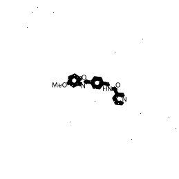 COc1ccc2oc(-c3ccc(CNC(=O)c4cccnc4)cc3)nc2c1